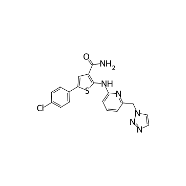 NC(=O)c1cc(-c2ccc(Cl)cc2)sc1Nc1cccc(Cn2ccnn2)n1